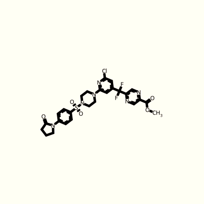 COC(=O)c1cnc(C(F)(F)c2cc(Cl)nc(N3CCN(S(=O)(=O)c4ccc(N5CCCC5=O)cc4)CC3)c2)cn1